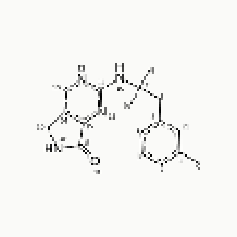 Cc1cccc(CC(C)(C)Nc2ncc3c(n2)C(=O)NC3)c1